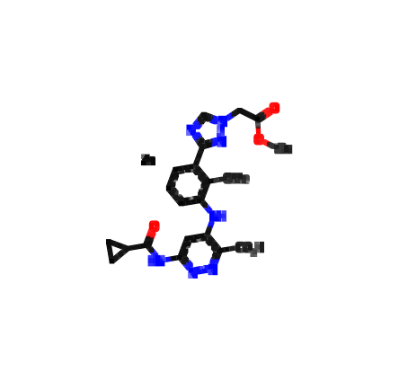 COc1c(Nc2cc(NC(=O)C3CC3)nnc2C(=O)O)cccc1-c1ncn(CC(=O)OC(C)(C)C)n1.[Zn]